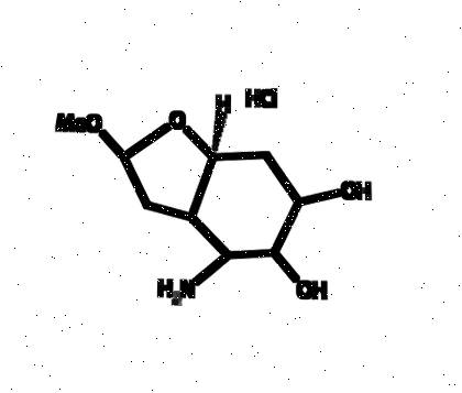 COC1CC2C(N)C(O)C(O)C[C@@H]2O1.Cl